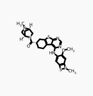 COc1cc2c(cc1Nc1ncnc3sc4c(c13)CC[C@H](C(=O)N1C[C@H]3C[C@@H]1CN3C)C4)sn2C